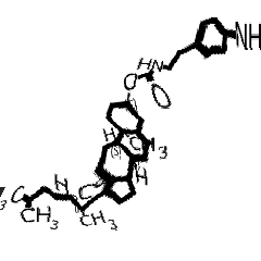 CC(C)CCC[C@@H](C)C1CCC2[C@@H]3CC=C4C[C@@H](OC(=O)NCCc5ccc(N)cc5)CC[C@]4(C)[C@H]3CC[C@]12C